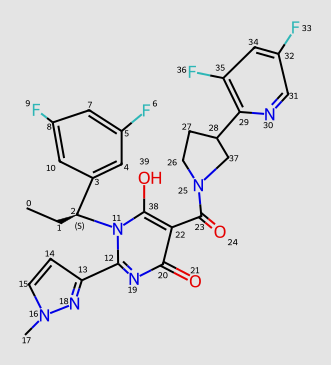 CC[C@@H](c1cc(F)cc(F)c1)n1c(-c2ccn(C)n2)nc(=O)c(C(=O)N2CCC(c3ncc(F)cc3F)C2)c1O